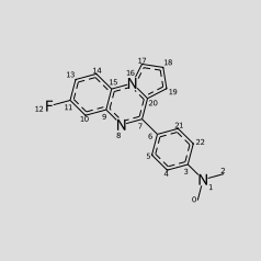 CN(C)c1ccc(-c2nc3cc(F)ccc3n3cccc23)cc1